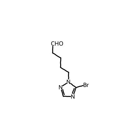 O=CCCCCn1ncnc1Br